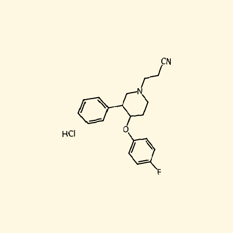 Cl.N#CCCN1CCC(Oc2ccc(F)cc2)C(c2ccccc2)C1